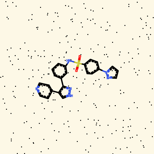 O=S(=O)(Nc1cccc(-c2n[nH]cc2-c2ccncc2)c1)c1ccc(-n2cccn2)cc1